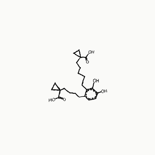 O=C(O)C1(CCCCCc2c(CCCCC3(C(=O)O)CC3)ccc(O)c2O)CC1